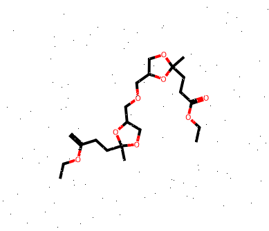 C=C(CCC1(C)OCC(COCC2COC(C)(CCC(=O)OCC)O2)O1)OCC